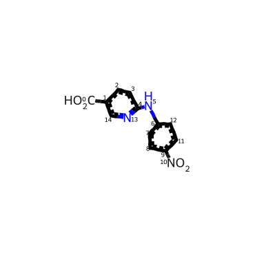 O=C(O)c1ccc(Nc2ccc([N+](=O)[O-])cc2)nc1